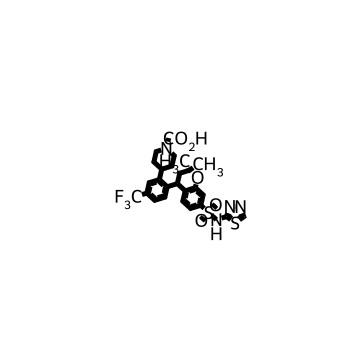 CC1(C)CC(c2ccc(C(F)(F)F)cc2C2CCN(C(=O)O)CC2)c2ccc(S(=O)(=O)Nc3nncs3)cc2O1